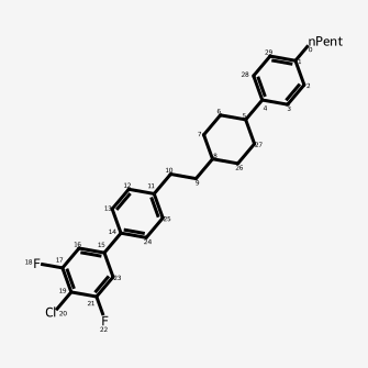 CCCCCc1ccc(C2CCC(CCc3ccc(-c4cc(F)c(Cl)c(F)c4)cc3)CC2)cc1